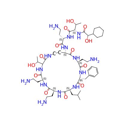 CC(C)C[C@@H]1NC(=O)[C@@H](Cc2ccccc2)NC(=O)[C@H](CCN)NC(=O)[C@@H](NC(=O)[C@H](CCN)NC(=O)[C@@H](NC(=O)C(O)C2CCCCC2)C(C)O)CCNC(=O)C(C(C)O)NC(=O)[C@H](CCN)NC(=O)[C@H](CCN)NC1=O